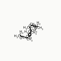 C=C(C)C(=O)COCCC(C)(C)Oc1ccc(C(C)(C)/C(C)=C/C=C(\C)OC(C)(C)CCOC(=O)C(=C)C)cc1